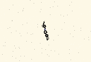 CCCC1CCC(/C=C/C2CCC(c3ccc(OCC)cc3)CC2)CO1